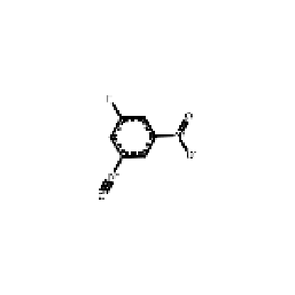 [C-]#[N+]c1cc(F)cc([N+](=O)[O-])c1